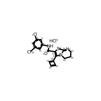 Cl.O=C(Nc1cc(Cl)cc(Cl)c1)C1=C(C2=CC=C2)N2CCCN=C2S1